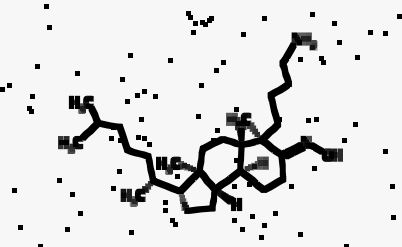 CC(C)CCC[C@@H](C)[C@H]1CC[C@H]2[C@@H]3CC/C(=N\O)[C@](C)(CCCCN)[C@H]3CC[C@]12C